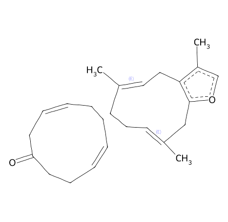 C/C1=C\Cc2c(C)coc2C/C(C)=C/CC1.O=C1CC=CCCC=CCC1